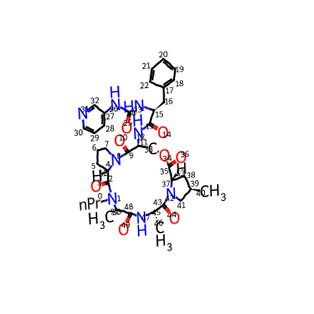 CCCN1C(=O)[C@@H]2CCCN2C(=O)[C@@H](NC(=O)[C@H](Cc2ccccc2)NC(=O)Nc2cccnc2)COC(=O)[C@@H]2C[C@@H](C)CN2C(=O)[C@H](C)NC(=O)[C@@H]1C